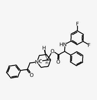 O=C(C[N+]12CCC(CC1)[C@@H](OC(=O)C(Nc1cc(F)cc(F)c1)c1ccccc1)C2)c1ccccc1